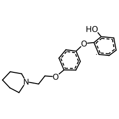 Oc1ccc[c]c1Oc1ccc(OCCN2CCCCC2)cc1